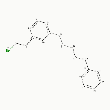 BrCCc1cccc(CCCCCc2ccccc2)c1